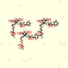 CC(C)OC(=O)CCC/C=C\C[C@@H]1[C@@H](CC[C@@H](O)CCc2ccccc2)[C@H](O)C[C@@H]1O.CC(C)OC(=O)CCC/C=C\C[C@@H]1[C@@H](CC[C@@H](O)CCc2ccccc2)[C@H](O)C[C@@H]1O.CC(C)OC(=O)CCC/C=C\C[C@@H]1[C@@H](CC[C@@H](O)CCc2ccccc2)[C@H](O)C[C@@H]1O